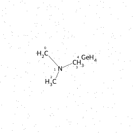 [CH2]N(C)C.[GeH4]